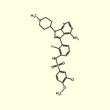 COc1ccc(S(=O)(=O)Nc2cccc(-c3nn(C4CCN(C)CC4)c4ncnc(N)c34)c2F)cc1Cl